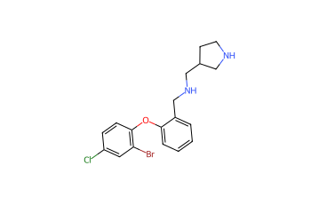 Clc1ccc(Oc2ccccc2CNCC2CCNC2)c(Br)c1